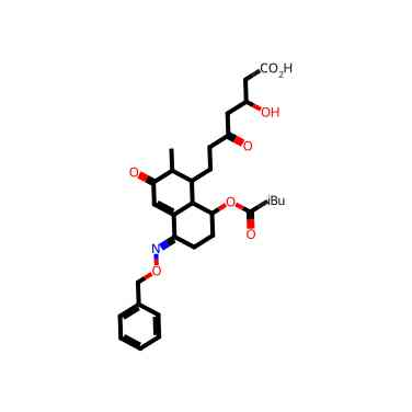 CCC(C)C(=O)OC1CCC(=NOCc2ccccc2)C2=CC(=O)C(C)C(CCC(=O)CC(O)CC(=O)O)C21